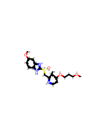 COCCCOc1ccnc(C[S+]([O-])c2nc3cc(OC)ccc3[nH]2)c1C